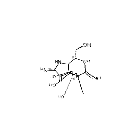 CC1[C@H](O)C(O)(O)C23NC(=N)NC2[C@H](CO)NC(=N)N13